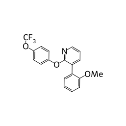 COc1ccccc1-c1cccnc1Oc1ccc(OC(F)(F)F)cc1